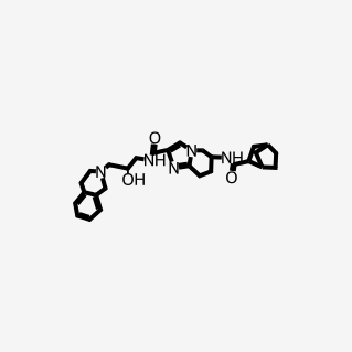 O=C(NC[C@H](O)CN1CCc2ccccc2C1)c1cn2c(n1)CCC(NC(=O)C1CC3CCC1C3)C2